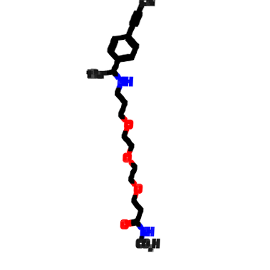 CC(C)(C)C(NCCCOCCOCCOCCC(=O)NC(=O)O)c1ccc(C#CC#N)cc1